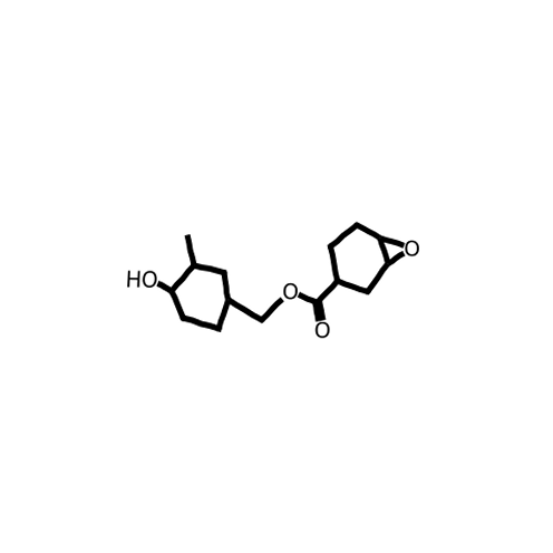 CC1CC(COC(=O)C2CCC3OC3C2)CCC1O